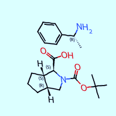 CC(C)(C)OC(=O)N1C[C@@H]2CCC[C@@H]2[C@H]1C(=O)O.C[C@@H](N)c1ccccc1